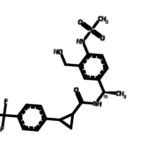 C[C@@H](NC(=O)C1CC1c1ccc(C(F)(F)F)cc1)c1ccc(NS(C)(=O)=O)c(CO)c1